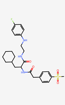 CS(=O)(=O)c1ccc(CC(=O)NC(CC2CCCCC2)C(=O)NCCNc2ccc(F)cc2)cc1